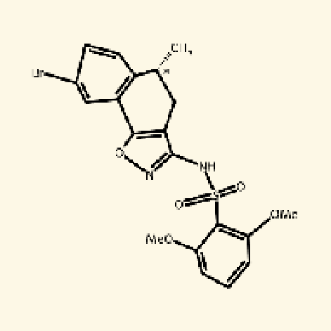 COc1cccc(OC)c1S(=O)(=O)Nc1noc2c1C[C@@H](C)c1ccc(Br)cc1-2